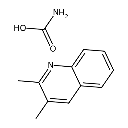 Cc1cc2ccccc2nc1C.NC(=O)O